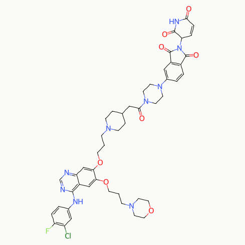 O=C1C=CC(N2C(=O)c3ccc(N4CCN(C(=O)CC5CCN(CCCOc6cc7ncnc(Nc8ccc(F)c(Cl)c8)c7cc6OCCCN6CCOCC6)CC5)CC4)cc3C2=O)C(=O)N1